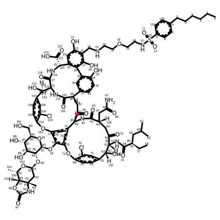 CCCCCCc1ccc(S(=O)(=O)NCCOCCNCc2c(O)cc3c(c2O)-c2cc(ccc2O)[C@H]2CC(=O)[C@@H]4NC(=O)[C@H](CC(N)=O)CC(=O)[C@H](NC(=O)[C@H](CC)CC(C)C)[C@H](O)c5ccc(c(Cl)c5)Oc5cc4cc(c5O[C@@H]4O[C@H](CO)[C@@H](O)[C@H](O)[C@H]4O[C@H]4C[C@]5(C)NC(=O)O[C@@H]5[C@H](C)O4)Oc4ccc(cc4Cl)[C@@H](O)[C@H](NC2=O)C(=O)N[C@@H]3C(=O)O)cc1